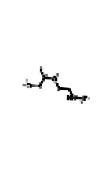 CC(C)NCCOC(C)CO